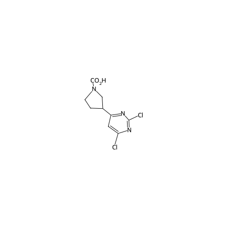 O=C(O)N1CCC(c2cc(Cl)nc(Cl)n2)C1